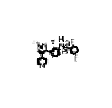 CCn1cc(-c2ccncc2)c(-c2cccc(NS(=O)(=O)c3cc(F)ccc3F)c2F)n1